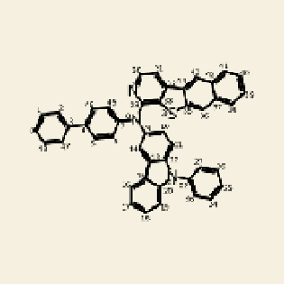 c1ccc(-c2ccc(N(c3ccc4c(c3)c3ccccc3n4-c3ccccc3)c3nccc4c3sc3cc5ccccc5cc34)cc2)cc1